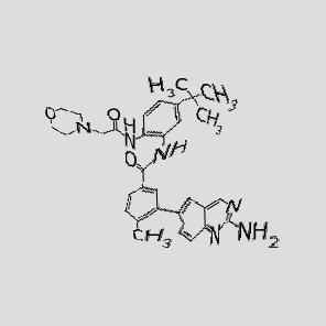 Cc1ccc(C(=O)Nc2cc(C(C)(C)C)ccc2NC(=O)CN2CCOCC2)cc1-c1ccc2nc(N)ncc2c1